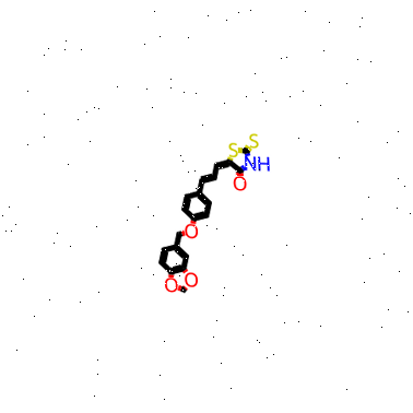 O=C1NC(=S)SC1=CC=Cc1ccc(OCc2ccc3c(c2)OCO3)cc1